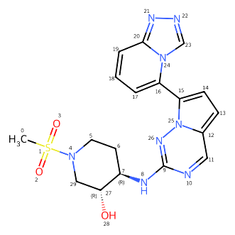 CS(=O)(=O)N1CC[C@@H](Nc2ncc3ccc(-c4cccc5nncn45)n3n2)[C@H](O)C1